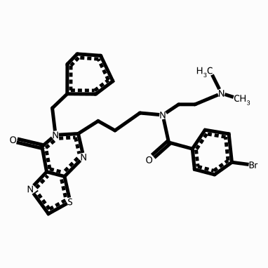 CN(C)CCN(CCCc1nc2scnc2c(=O)n1Cc1ccccc1)C(=O)c1ccc(Br)cc1